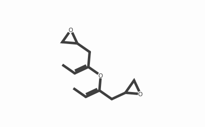 CC=C(CC1CO1)OC(=CC)CC1CO1